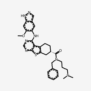 COc1cc2[nH]ncc2cc1Nc1ncnc2sc3c(c12)CC[C@H](C(=O)N(CCCN(C)C)Cc1ccccc1)C3